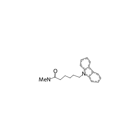 CNC(=O)CCCCCn1c2ccccc2c2ccccc21